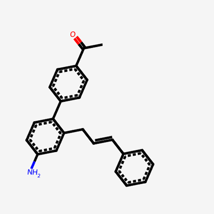 CC(=O)c1ccc(-c2ccc(N)cc2CC=Cc2ccccc2)cc1